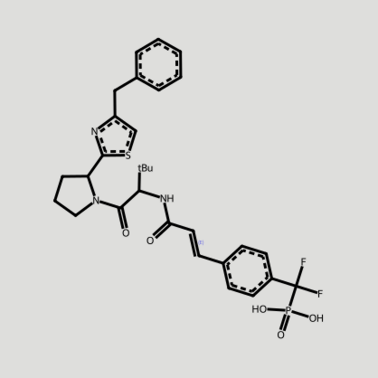 CC(C)(C)C(NC(=O)/C=C/c1ccc(C(F)(F)P(=O)(O)O)cc1)C(=O)N1CCCC1c1nc(Cc2ccccc2)cs1